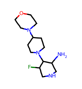 NC1CNCC(F)C1N1CCC(N2CCOCC2)CC1